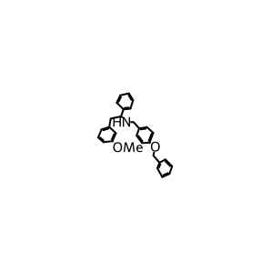 COc1cccc(CC(NCc2ccc(OCc3ccccc3)cc2)c2ccccc2)c1